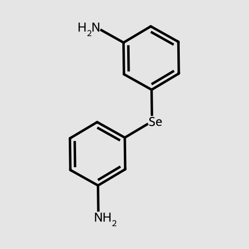 Nc1cccc([Se]c2cccc(N)c2)c1